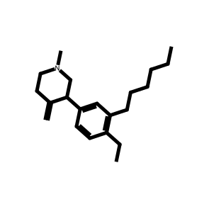 C=C1CCN(C)CC1c1ccc(CC)c(CCCCCC)c1